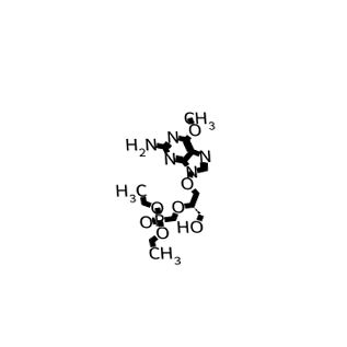 CCOP(=O)(CO[C@@H](CO)COn1cnc2c(OC)nc(N)nc21)OCC